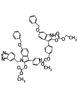 CCOC(=O)Oc1[nH]c2cc(OCc3ccccc3)ccc2c1-c1ccc(OC)cc1.CCOC(=O)Oc1c(-c2ccc(OC)cc2)c2ccc(OCc3ccccc3)cc2n1Cc1ccc2nsnc2c1